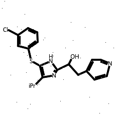 CC(C)c1nc(C(O)Cc2ccncc2)[nH]c1Sc1cccc(Cl)c1